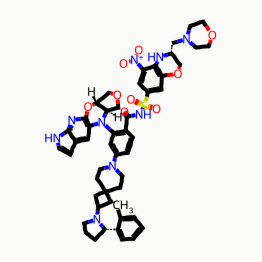 Cc1ccccc1[C@@H]1CCCN1C1CC2(CCN(c3ccc(C(=O)NS(=O)(=O)c4cc5c(c([N+](=O)[O-])c4)N[C@H](CN4CCOCC4)CO5)c(N4c5cc6cc[nH]c6nc5O[C@@H]5COC[C@H]54)c3)CC2)C1